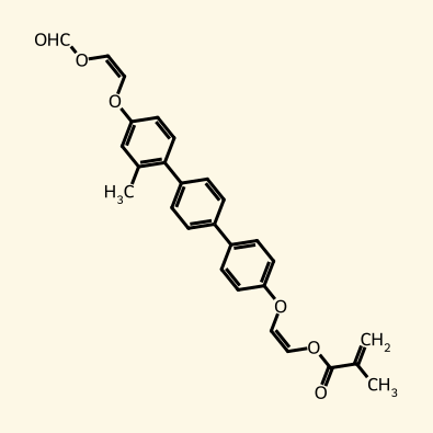 C=C(C)C(=O)O/C=C\Oc1ccc(-c2ccc(-c3ccc(O/C=C\OC=O)cc3C)cc2)cc1